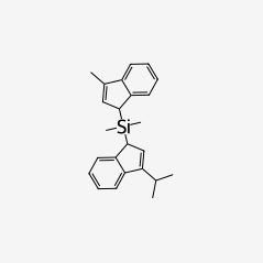 CC1=CC([Si](C)(C)C2C=C(C(C)C)c3ccccc32)c2ccccc21